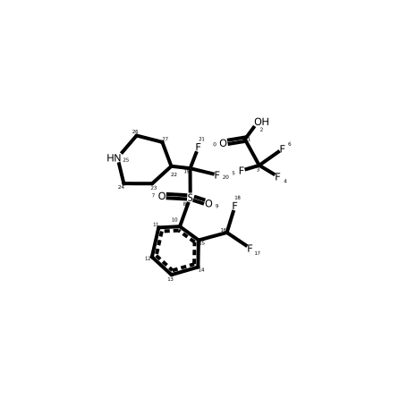 O=C(O)C(F)(F)F.O=S(=O)(c1ccccc1C(F)F)C(F)(F)C1CCNCC1